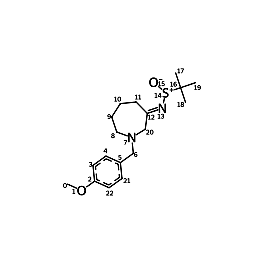 COc1ccc(CN2CCCC/C(=N\[S+]([O-])C(C)(C)C)C2)cc1